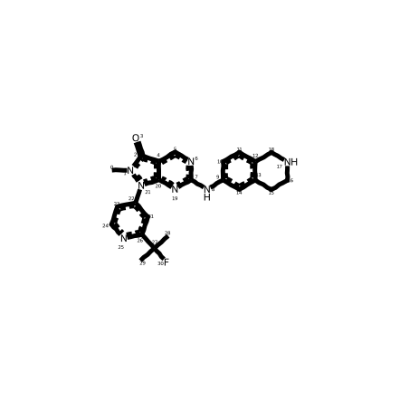 Cn1c(=O)c2cnc(Nc3ccc4c(c3)CCNC4)nc2n1-c1ccnc(C(C)(C)F)c1